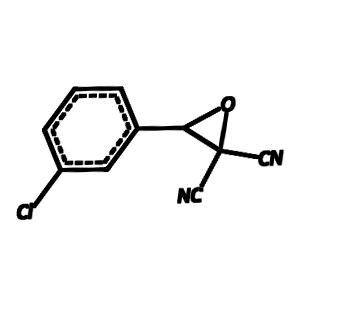 N#CC1(C#N)OC1c1cccc(Cl)c1